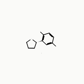 Cl.Oc1ccc(F)cc1[C@H]1CCCN1